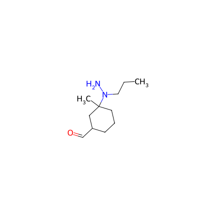 CCCN(N)C1(C)CCCC(C=O)C1